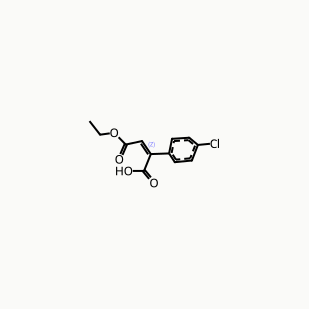 CCOC(=O)/C=C(\C(=O)O)c1ccc(Cl)cc1